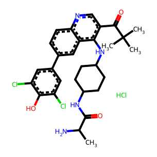 CC(N)C(=O)NC1CCC(Nc2c(C(=O)C(C)(C)C)cnc3ccc(-c4cc(Cl)c(O)c(Cl)c4)cc23)CC1.Cl